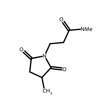 CNC(=O)CCN1C(=O)CC(C)C1=O